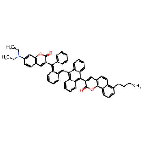 CCCCc1cccc2c1ccc1cc(-c3c4ccccc4c(-c4c5ccccc5c(-c5cc6ccc(N(CC)CC)cc6oc5=O)c5ccccc45)c4ccccc34)c(=O)oc12